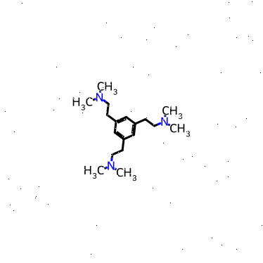 CN(C)CCc1cc(CCN(C)C)cc(CCN(C)C)c1